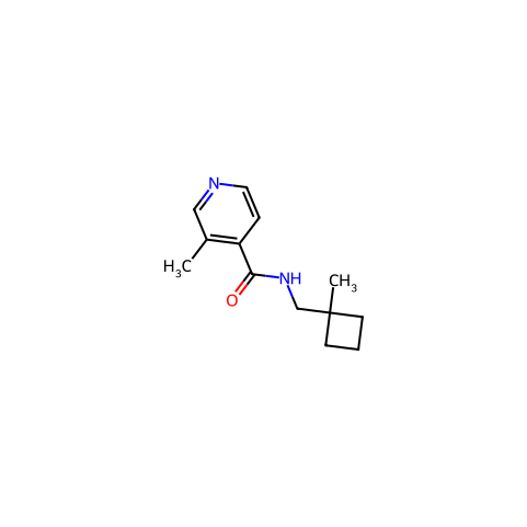 Cc1cnccc1C(=O)NCC1(C)CCC1